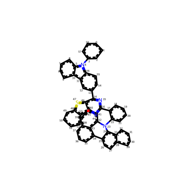 c1ccc(-n2c3ccccc3c3cc(-c4nc(-c5ccccc5N5c6c(ccc7ccccc67)-c6cccc7cccc5c67)nc5c4sc4ccccc45)ccc32)cc1